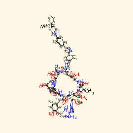 COC1(C2CCCCC2)CCN(c2ccc(-c3nnc([C@H]4CC[C@H](CN[C@H]5C[C@@H](O)CNC(=O)[C@@H]6[C@@H](O)[C@@H](C)CN6C(=O)[C@H]([C@H](O)CC(N)=O)NC(=O)[C@H]([C@H](O)Cc6ccc(O)c(OCCN)c6)NC(=O)[C@@H]6C[C@@H](O)CN6C(=O)[C@H]([C@@H](C)O)NC5=O)CC4)s3)cc2)CC1